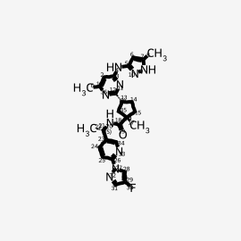 Cc1cc(Nc2cc(C)[nH]n2)nc([C@@H]2CC[C@](C)(C(=O)N[C@@H](C)c3ccc(-n4cc(F)cn4)nc3)C2)n1